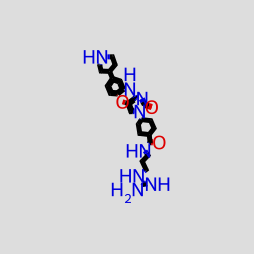 N=C(N)NCCCNC(=O)C1CCC(n2cc3c(nc2=O)Nc2cc(C4CCNCC4)ccc2O3)CC1